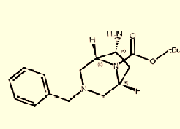 CC(C)(C)OC(=O)N1[C@@H]2C[C@@H](N)[C@H]1CN(Cc1ccccc1)C2